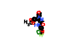 CS(=O)(=O)c1cccc(-c2cc(C(=O)Nc3ccc(OC(F)(F)Cl)cc3)cnc2N2CCOCC2)c1